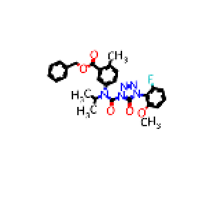 COc1cccc(F)c1-n1nnn(C(=O)N(c2ccc(C)c(C(=O)OCc3ccccc3)c2)C(C)C)c1=O